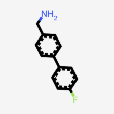 NCc1ccc(-c2ccc(F)cc2)cc1